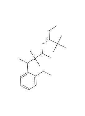 CCc1ccccc1C(C)S(C)(C)C(C)C[C@H](CC)C(C)(C)C